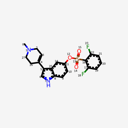 CN1CC=C(c2c[nH]c3ccc(OS(=O)(=O)c4c(F)cccc4F)cc23)CC1